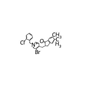 Cc1cc2c(cc1C)C(=O)C(Cc1cc[n+](Cc3ccccc3Cl)cc1Br)C2